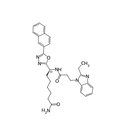 CCc1nc2ccccc2n1CCC(=O)N[C@@H](CCCCCC(N)=O)c1nnc(-c2ccc3ccccc3c2)o1